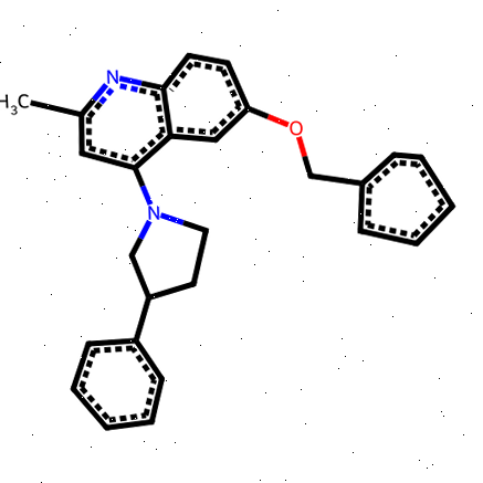 Cc1cc(N2CCC(c3ccccc3)C2)c2cc(OCc3ccccc3)ccc2n1